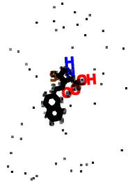 O=C(C[C@@H]1CCc2ccccc2C1)C1C(=S)CN[C@@H]1C(=O)O